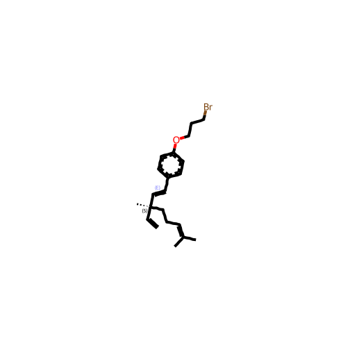 C=C[C@@](C)(/C=C/c1ccc(OCCCBr)cc1)CCC=C(C)C